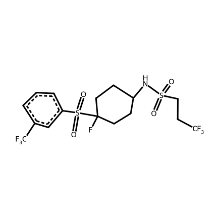 O=S(=O)(CCC(F)(F)F)NC1CCC(F)(S(=O)(=O)c2cccc(C(F)(F)F)c2)CC1